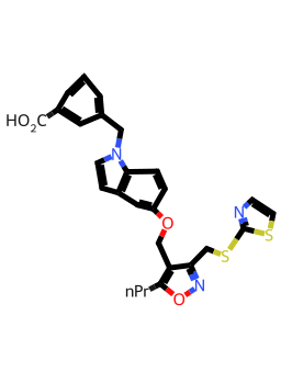 CCCc1onc(CSc2nccs2)c1COc1ccc2c(ccn2Cc2cccc(C(=O)O)c2)c1